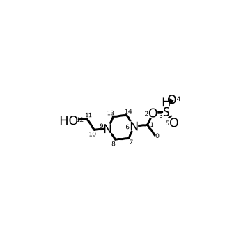 CC(O[SH](=O)=O)N1CCN(CCO)CC1